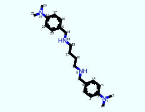 CN(C)c1ccc(CNCCCCNCc2ccc(N(C)C)cc2)cc1